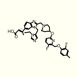 CCn1cncc1Cn1c(CN2CCC(Oc3ccc(F)c(COc4ccc(C)cc4F)n3)CC2)nc2ccc(/C(C)=C/C(=O)O)cc21